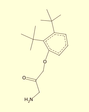 CC(C)(C)c1cccc(OCC(=O)CN)c1C(C)(C)C